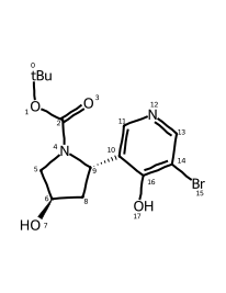 CC(C)(C)OC(=O)N1C[C@H](O)C[C@H]1c1cncc(Br)c1O